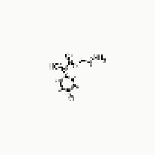 NCCSC(=O)N(O)c1ccc(Cl)cc1